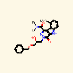 CCN(CC)C(=O)c1nn(CC(O)COCc2ccccc2)c(=O)c2[nH]c3cccc(OC)c3c12